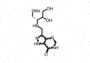 CSC[C@@H](NCc1n[nH]c2c(=O)[nH]cnc12)[C@H](O)CO